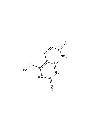 C=C(N)/C=C\c1c(C)cc(=O)oc1CC